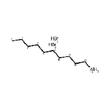 Br.Br.CCCCCCCCC[CH2][AlH2]